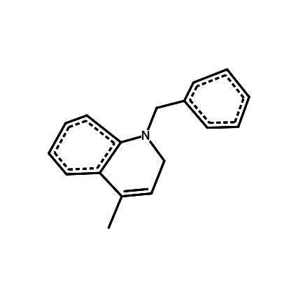 CC1=CCN(Cc2ccccc2)c2ccccc21